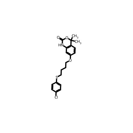 CC1(C)OC(=O)Nc2cc(OCCCCSc3ccc(Cl)cc3)ccc21